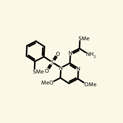 COC1=CC(OC)N(S(=O)(=O)c2ccccc2SC)C(N=C(N)SC)=N1